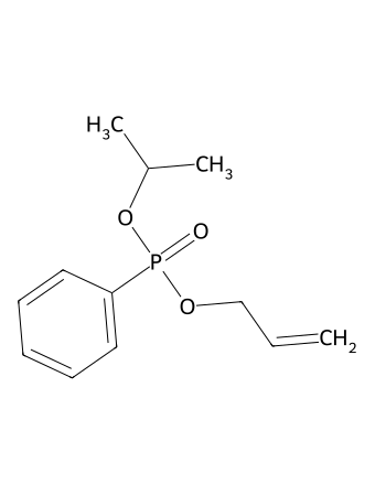 C=CCOP(=O)(OC(C)C)c1ccccc1